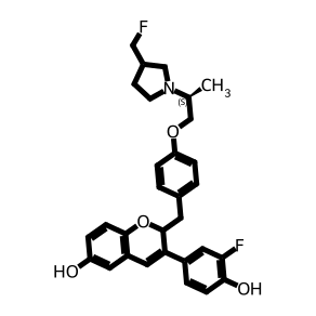 C[C@@H](COc1ccc(CC2Oc3ccc(O)cc3C=C2c2ccc(O)c(F)c2)cc1)N1CCC(CF)C1